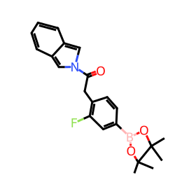 CC1(C)OB(c2ccc(CC(=O)n3cc4ccccc4c3)c(F)c2)OC1(C)C